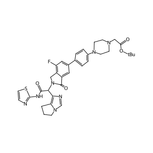 CC(C)(C)OC(=O)CN1CCN(c2ccc(-c3cc(F)c4c(c3)C(=O)N(C(C(=O)Nc3nccs3)c3ncn5c3CCC5)C4)cc2)CC1